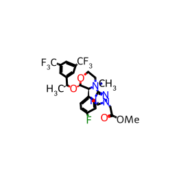 COC(=O)Cn1cnc([N+]2(C)CCO[C@H](O[C@H](C)c3cc(C(F)(F)F)cc(C(F)(F)F)c3)[C@@H]2c2ccc(F)cc2)n1